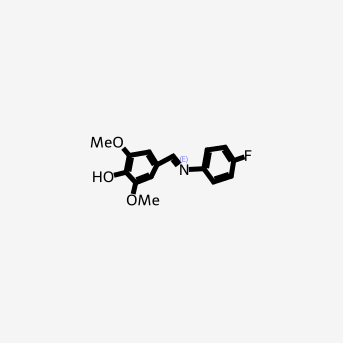 COc1cc(/C=N/c2ccc(F)cc2)cc(OC)c1O